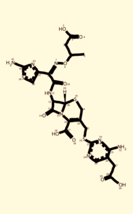 CC(CC(=O)O)O/N=C(\C(=O)NC1C(=O)N2C(C(=O)O)=C(CSc3ncc(CC(=O)O)c(N)n3)CS[C@@H]12)c1csc(N)n1